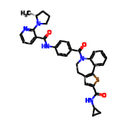 C[C@@H]1CCCN1c1ncccc1C(=O)Nc1ccc(C(=O)N2CCc3cc(C(=O)NC4CC4)sc3-c3ccccc32)cc1